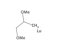 COCC(C)OC.[Lu]